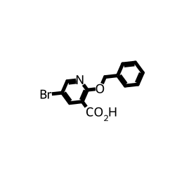 O=C(O)c1cc(Br)cnc1OCc1ccccc1